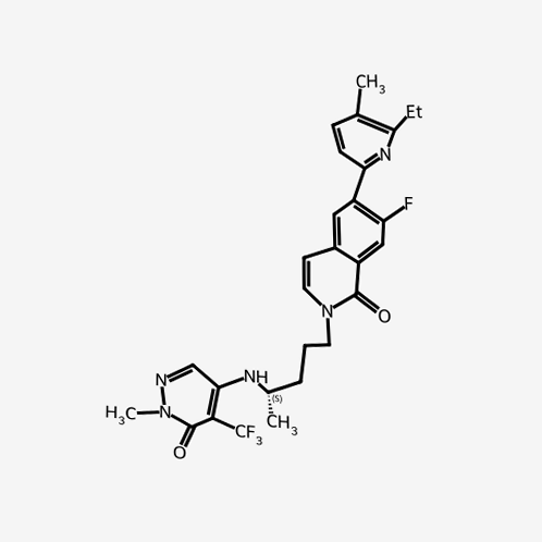 CCc1nc(-c2cc3ccn(CCC[C@H](C)Nc4cnn(C)c(=O)c4C(F)(F)F)c(=O)c3cc2F)ccc1C